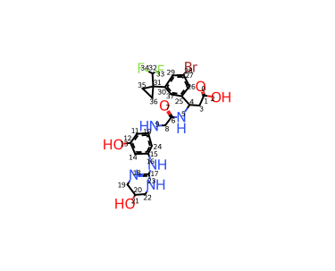 O=C(O)CC(NC(=O)CNc1cc(O)cc(NC2=NCC(O)CN2)c1)c1cc(Br)cc(C2(C(F)F)CC2)c1